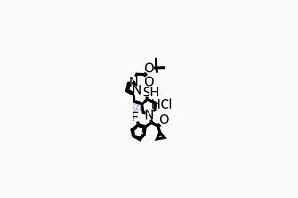 CC(C)(C)OC(=O)Cn1ccc(/C=C2/CN(C(C(=O)C3CC3)c3ccccc3F)CCC2S)n1.Cl